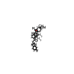 C[C@H]1O[C@@H]2C[C@@H]3C(CC[C@]4(C)[C@@H](C(=O)Cn5nc6ccc(F)cc6n5)CC[C@@H]34)[C@]13CC[C@@](C)(O)CC23